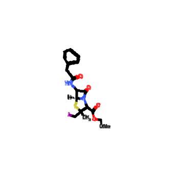 COCOC(=O)C1N2C(=O)C(NC(=O)Cc3ccccc3)[C@@H]2SC1(C)CI